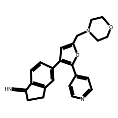 N=C1CCc2cc(-c3cc(CN4CCOCC4)oc3-c3ccncc3)ccc21